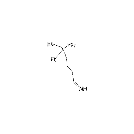 CCCC(CC)(CC)CCCC=N